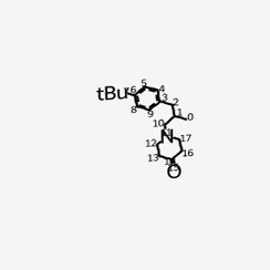 CC(Cc1ccc(C(C)(C)C)cc1)CN1CCC(=O)CC1